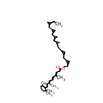 CCC1CC1CC1CC1CC1CC1CC1CC1CC1CC1CC1CC1CCOC(=O)C/C=C(C)/C=C/C=C(C)/C=C/C1=C(C)CCCC1(C)C